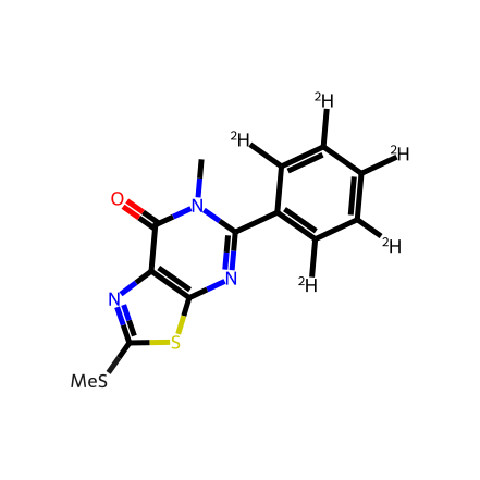 [2H]c1c([2H])c([2H])c(-c2nc3sc(SC)nc3c(=O)n2C)c([2H])c1[2H]